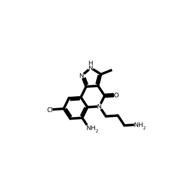 Cc1[nH]nc2c1c(=O)n(CCCN)c1c(N)cc(Cl)cc21